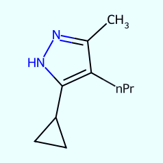 CCCc1c(C)n[nH]c1C1CC1